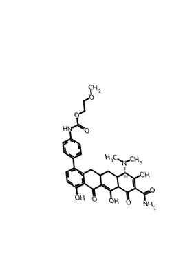 COCCOC(=O)Nc1ccc(-c2ccc(O)c3c2CC2CC4C(C(=O)C(C(N)=O)=C(O)[C@H]4N(C)C)C(O)=C2C3=O)cc1